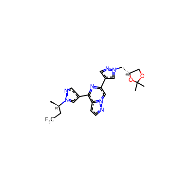 C[C@H](CC(F)(F)F)n1cc(-c2nc(-c3cnn(C[C@@H]4COC(C)(C)O4)c3)cn3nccc23)cn1